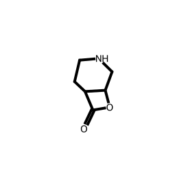 O=C1OC2CNCCC12